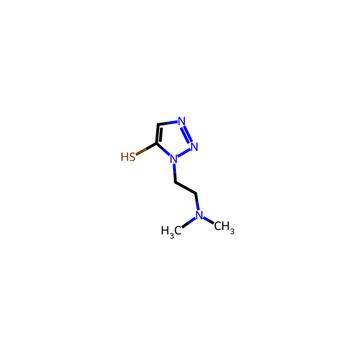 CN(C)CCn1nncc1S